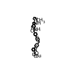 CN1CCC[C@@H]1c1cc2cnc(NC(=O)c3ccc(N4CCN(CC5CCN(c6cccc(C(=O)OC(C)(C)C)n6)CC5)CC4)cc3)cc2[nH]1